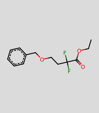 CCOC(=O)C(F)(F)CCOCc1ccccc1